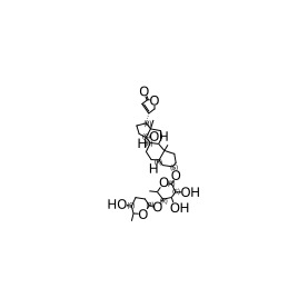 CC1O[C@@H](O[C@H]2CCC3(C)C4CCC5(C)[C@@H](C6=CC(=O)OC6)CC[C@]5(O)[C@@H]4CC[C@@H]3C2)[C@@H](O)C(O)[C@H]1O[C@@H]1CC[C@H](O)C(C)O1